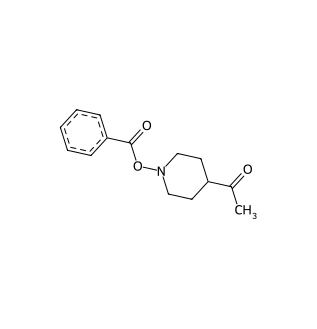 CC(=O)C1CCN(OC(=O)c2ccccc2)CC1